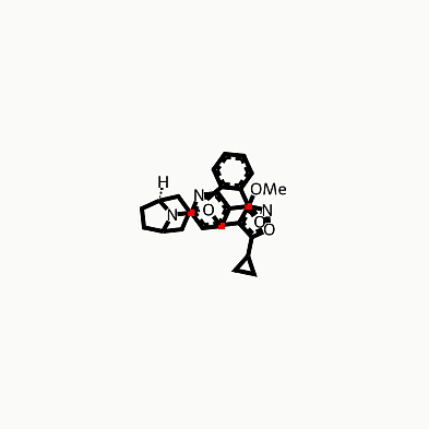 COC(=O)c1ccc(N2C3CC[C@H]2C[C@H](OCc2c(-c4ccccc4C)noc2C2CC2)C3)nc1